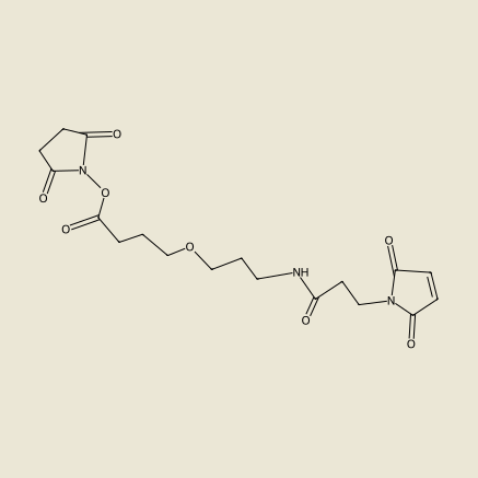 O=C(CCN1C(=O)C=CC1=O)NCCCOCCCC(=O)ON1C(=O)CCC1=O